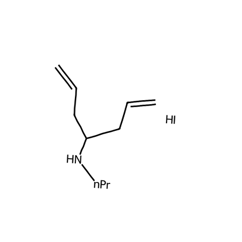 C=CCC(CC=C)NCCC.I